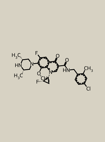 COc1c(N2C[C@@H](C)N[C@@H](C)C2)c(F)cc2c(=O)c(C(=O)NCc3ccc(Cl)cc3C)cn([C@@H]3C[C@@H]3F)c12